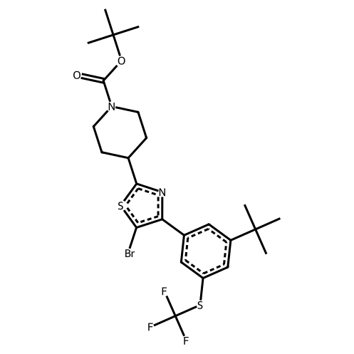 CC(C)(C)OC(=O)N1CCC(c2nc(-c3cc(SC(F)(F)F)cc(C(C)(C)C)c3)c(Br)s2)CC1